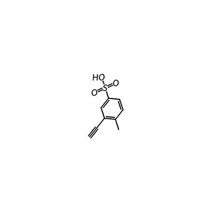 C#Cc1cc(S(=O)(=O)O)ccc1C